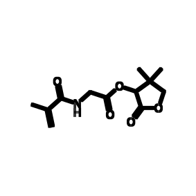 C=C(C)C(=O)NCC(=O)OC1C(=O)OCC1(C)C